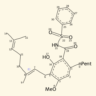 CCCCCc1cc(OC)c(C/C=C(\C)CCC=C(C)C)c(O)c1C(=O)NS(=O)(=O)c1ccccc1